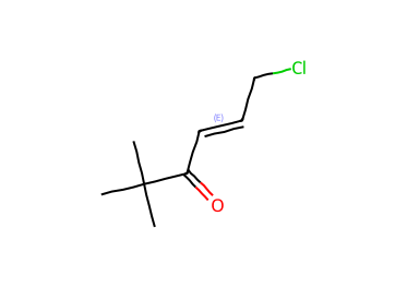 CC(C)(C)C(=O)/C=C/CCl